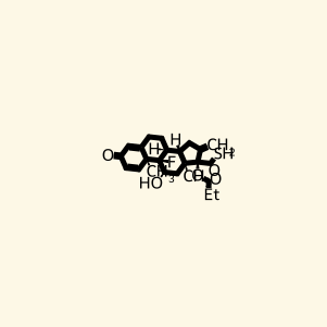 C=C1C[C@H]2[C@@H]3CCC4=CC(=O)C=C[C@]4(C)[C@@]3(F)[C@@H](O)C[C@]2(C)[C@@]1(OC(=O)CC)C(=O)S